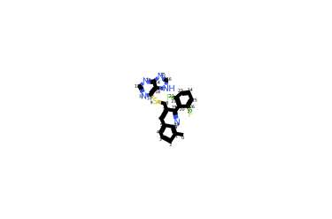 Cc1cccc2cc(CSc3ncnc4nc[nH]c34)c(-c3c(F)cccc3F)nc12